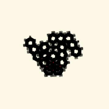 c1ccc2cc3c(ccc4cc5cccc([B-](c6cccc7cc8ccc9cc%10ccccc%10cc9c8cc67)(c6cccc7cc8ccc9cc%10ccccc%10cc9c8cc67)c6cccc7cc8ccc9cc%10ccccc%10cc9c8cc67)c5cc43)cc2c1